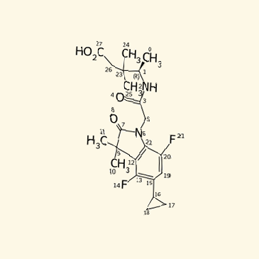 C[C@@H](NC(=O)CN1C(=O)C(C)(C)c2c(F)c(C3CC3)cc(F)c21)C(C)(C)CC(=O)O